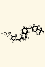 CCC(C)(C)C1CCC(Oc2ccc3nc(CN4CCC(C(=O)O)C4)ncc3c2)CC1